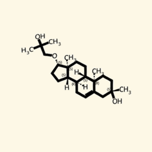 CC(C)(O)CO[C@H]1CC[C@H]2[C@@H]3CC=C4C[C@@](C)(O)CC[C@]4(C)[C@H]3CC[C@]12C